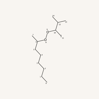 CCCCCCC(C)OOC(I)C(C)C